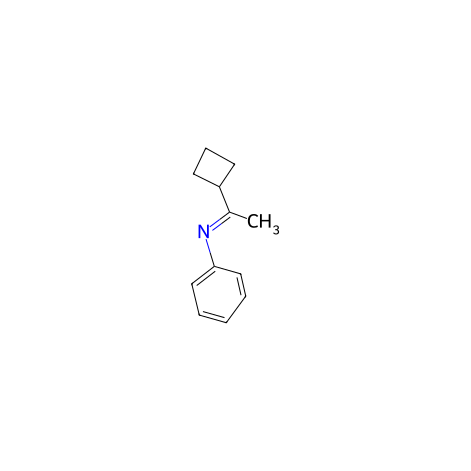 C/C(=N\c1ccccc1)C1CCC1